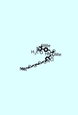 COC(=O)[C@H](Cc1ccc(-c2c(OC)cnn(C)c2=O)cc1)NC(=O)c1ccc(OCCOCCOCCOCCN=[N+]=[N-])nc1Cl